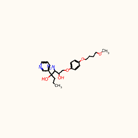 CCCC(O)(c1cccnc1)C(N)C(O)COc1ccc(OCCCCOC)cc1